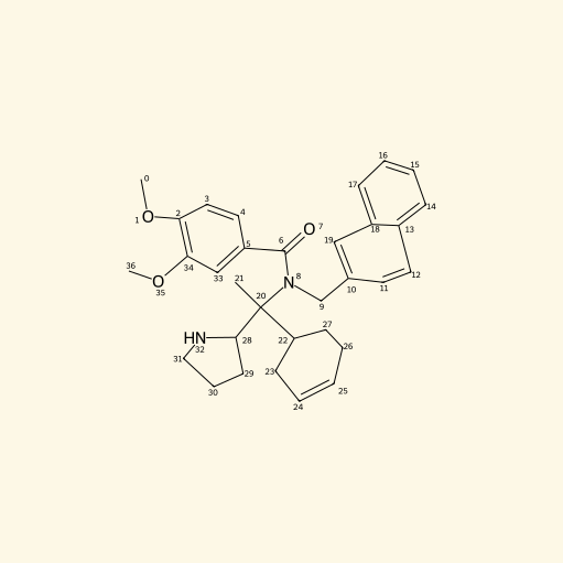 COc1ccc(C(=O)N(Cc2ccc3ccccc3c2)C(C)(C2CC=CCC2)C2CCCN2)cc1OC